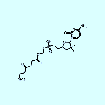 CNCCC(=O)OCC(=O)OCOP(=O)(O)OC[C@@H]1C[C@](C)(F)[C@H](n2ccc(N)nc2=O)O1